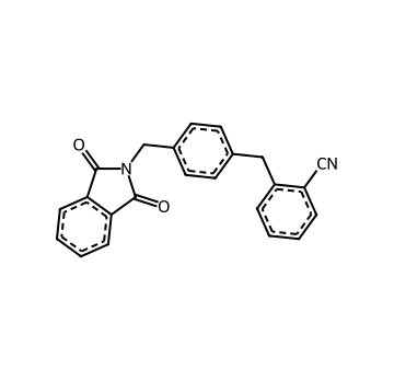 N#Cc1ccccc1Cc1ccc(CN2C(=O)c3ccccc3C2=O)cc1